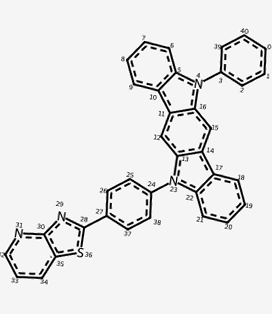 c1ccc(-n2c3ccccc3c3cc4c(cc32)c2ccccc2n4-c2ccc(-c3nc4ncccc4s3)cc2)cc1